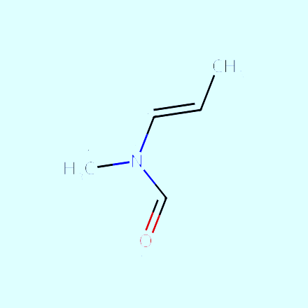 CC=CN(C)C=O